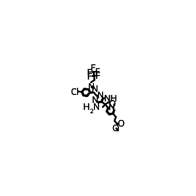 COC(=O)CCc1ccc(C2(C)C(=O)Nc3nc(-c4nn(CCC(F)(F)C(F)(F)F)c5cc(Cl)ccc45)nc(N)c32)nc1